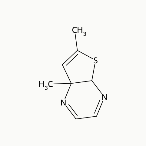 CC1=CC2(C)N=CC=NC2S1